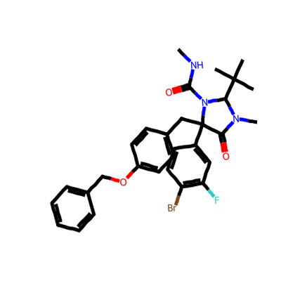 CNC(=O)N1C(C(C)(C)C)N(C)C(=O)C1(Cc1ccc(OCc2ccccc2)cc1)c1ccc(Br)c(F)c1